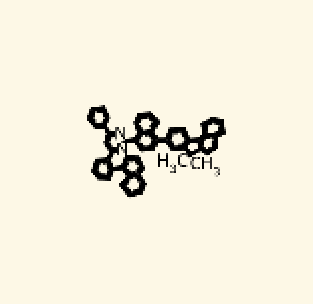 CC1(C)c2cc(-c3ccc(-c4nc(-c5ccccc5)cc(-c5ccccc5-c5cccc6ccccc56)n4)c4ccccc34)ccc2-c2c1ccc1ccccc21